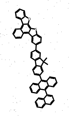 CC1(C)c2cc(-c3ccc4sc5c6oc7ccccc7c6c6ccccc6c5c4c3)ccc2-c2ccc(-c3c4ccccc4c(-c4cccc5ccccc45)c4ccccc34)cc21